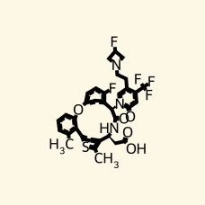 Cc1cccc2c1-c1cc(c(C)s1)[C@H](CC(=O)O)NC(=O)[C@H](n1cc(CCN3CC(F)C3)c(C(F)(F)F)cc1=O)c1cc(ccc1F)O2